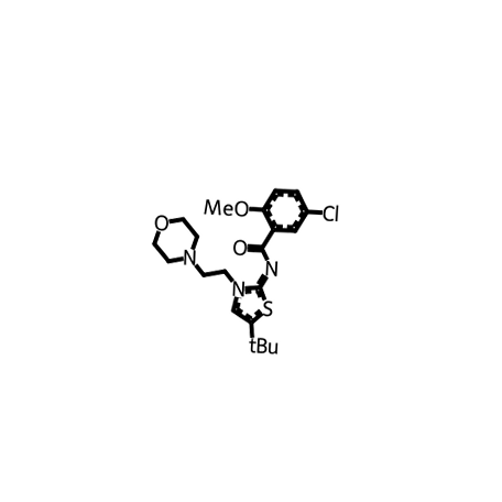 COc1ccc(Cl)cc1C(=O)N=c1sc(C(C)(C)C)cn1CCN1CCOCC1